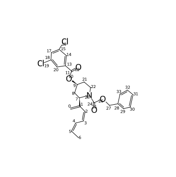 C=C(/C=C\C=C/C)[C@H]1C[C@@H](OC(=O)c2cc(Cl)cc(Cl)c2)CCN1C(=O)OCc1ccccc1